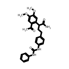 COc1cc(C(C)=O)c(C(CCc2ccc(NC(=O)Nc3ccccc3)cc2)C(N)=O)cc1OC